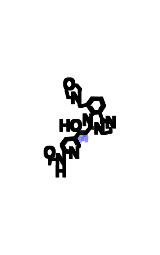 CC(=O)Nc1ccc(/C(O)=C/C2=Nc3c(CN4CCOCC4)cccc3C3=NCCN23)cn1